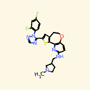 CN1CCC(CNc2ccc3c(n2)-c2sc(-c4ncnn4-c4ccc(F)cc4F)cc2CCO3)C1